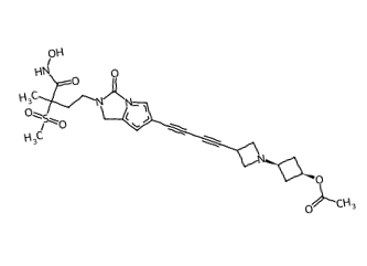 CC(=O)O[C@H]1C[C@@H](N2CC(C#CC#Cc3cc4n(c3)C(=O)N(CCC(C)(C(=O)NO)S(C)(=O)=O)C4)C2)C1